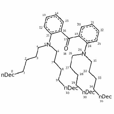 CCCCCCCCCCCCCCN(CCCCCCCCCCCCCC)c1ccccc1C(=O)c1ccccc1N(CCCCCCCCCCCCCC)CCCCCCCCCCCCCC